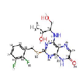 CC(O)C(CO)Nc1nc(SCc2cccc(F)c2F)nc2[nH]c(=O)cnc12